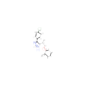 [CH2]C(COc1ccccc1C)c1[nH]cnc1-c1ccc(Cl)cc1